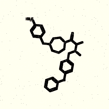 CC(C(=O)N1CCCN(Cc2ccc(C(=O)O)cc2)CC1)N(C)Cc1ccc(Oc2ccccc2)cc1